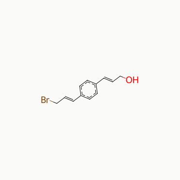 OCC=Cc1ccc(C=CCBr)cc1